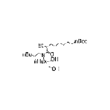 CCCCCCCCCCCCCCCCC(CC)C(=O)N(CC(O)CO)CC(CCCC)CCCCCC